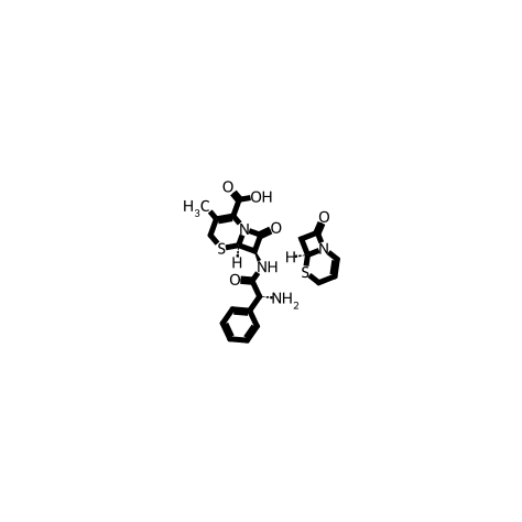 CC1=C(C(=O)O)N2C(=O)[C@@H](NC(=O)[C@H](N)c3ccccc3)[C@H]2SC1.O=C1C[C@@H]2SCC=CN12